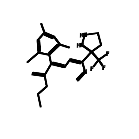 C=N/C(=C\C=C(\C(=C)CCC)c1c(C)cc(C)cc1C)C1(C(F)(F)F)CCNN1